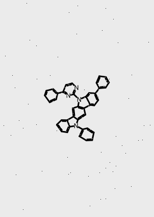 c1ccc(-c2ccc3c4cc5c(cc4n(-c4nccc(-c6ccccc6)n4)c3c2)c2ccccc2n5-c2ccccc2)cc1